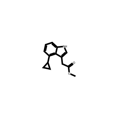 COC(=O)Cc1c[nH]c2cccc(C3CC3)c12